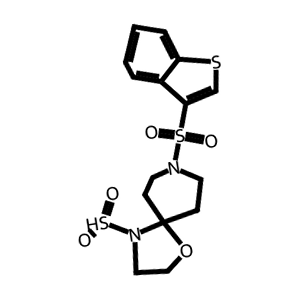 O=[SH](=O)N1CCOC12CCN(S(=O)(=O)c1csc3ccccc13)CC2